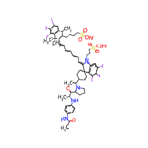 CC(=O)Nc1ccc(NC(C)C(=O)C2CCCN2C(C)C2CCC3(CC2)C(=CC=CC=CC=CC2=C(CCCCS(=O)(=O)O)C(C)c4cc(I)c(I)c(I)c4C2(C)C)N(CCCS(=O)(=O)O)c2cc(I)c(I)c(I)c23)cc1